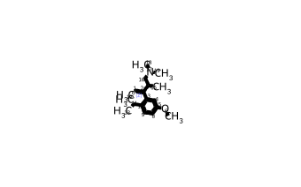 C/C=C(\c1cc(OC)ccc1C(C)C)C(C)CN(C)C